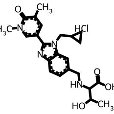 Cc1cc(-c2nc3ccc(CNC(C(=O)O)C(C)O)cc3n2CC2CC2)cn(C)c1=O.Cl